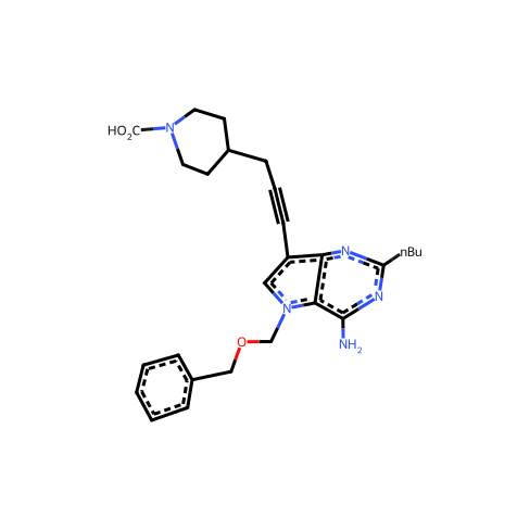 CCCCc1nc(N)c2c(n1)c(C#CCC1CCN(C(=O)O)CC1)cn2COCc1ccccc1